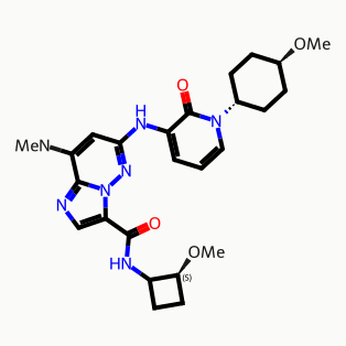 CNc1cc(Nc2cccn([C@H]3CC[C@H](OC)CC3)c2=O)nn2c(C(=O)NC3CC[C@@H]3OC)cnc12